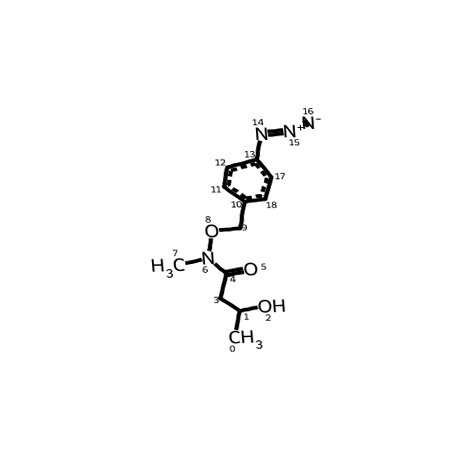 CC(O)CC(=O)N(C)OCc1ccc(N=[N+]=[N-])cc1